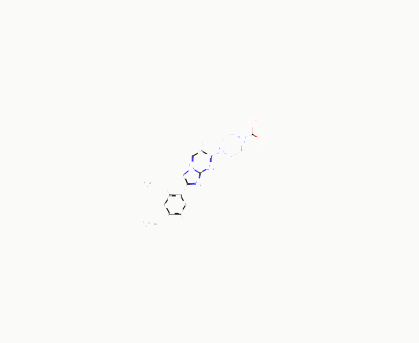 COc1cc(OC)c(-c2cn3cc(Br)c(N4CCN(C(=O)OC(C)(C)C)CC4)nc3n2)cc1Cl